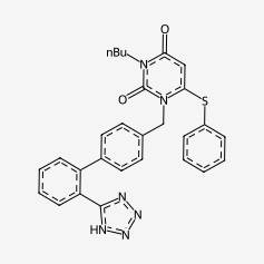 CCCCn1c(=O)cc(Sc2ccccc2)n(Cc2ccc(-c3ccccc3-c3nnn[nH]3)cc2)c1=O